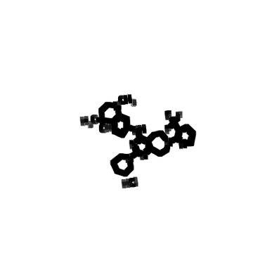 CN1CCC(C)(C)c2ccc(Nc3nc(N4CCCCC4)nc4c3CCN(c3ncccc3C(F)(F)F)CC4)cc21.Cl